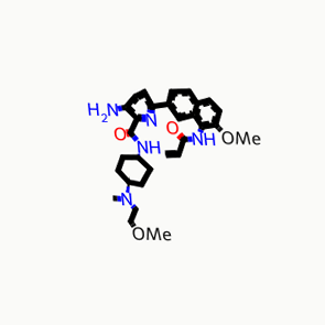 C=CC(=O)Nc1c(OC)ccc2ccc(-c3ccc(N)c(C(=O)N[C@H]4CC[C@H](N(C)CCOC)CC4)n3)cc12